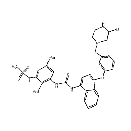 CCC1CN(Cc2cc(Oc3ccc(NC(=O)Nc4cc(C(C)(C)C)cc(NS(C)(=O)=O)c4OC)c4ccccc34)ccn2)CCN1